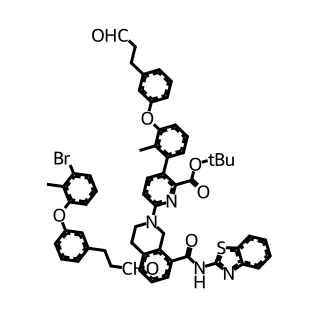 Cc1c(Br)cccc1Oc1cccc(CCC=O)c1.Cc1c(Oc2cccc(CCC=O)c2)cccc1-c1ccc(N2CCc3cccc(C(=O)Nc4nc5ccccc5s4)c3C2)nc1C(=O)OC(C)(C)C